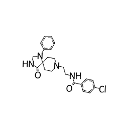 O=C(NCCN1CCC2(CC1)C(=O)NCN2c1ccccc1)c1ccc(Cl)cc1